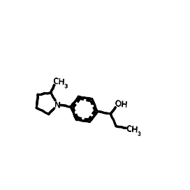 CCC(O)c1ccc(N2CCCC2C)cc1